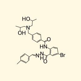 Cc1ccc(C=NNC(=O)c2cc(Br)ccc2NC(=O)c2ccc(CN(CC(C)O)CC(C)O)cc2)cc1